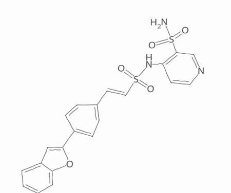 NS(=O)(=O)c1cnccc1NS(=O)(=O)C=Cc1ccc(-c2cc3ccccc3o2)cc1